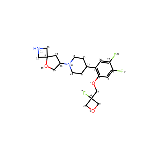 Fc1cc(OCC2(F)COC2)c(C2CCN(C3COC4(CNC4)C3)CC2)cc1F